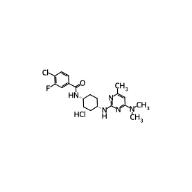 Cc1cc(N(C)C)nc(N[C@H]2CC[C@@H](NC(=O)c3ccc(Cl)c(F)c3)CC2)n1.Cl